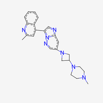 Cc1cc(-c2cnc3cc(N4CC(N5CCN(C)CC5)C4)cnn23)c2ccccc2n1